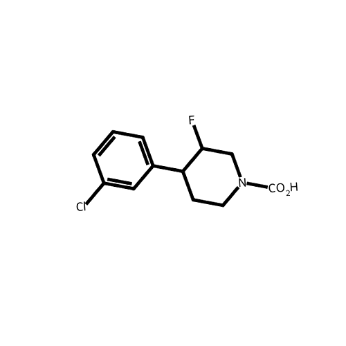 O=C(O)N1CCC(c2cccc(Cl)c2)C(F)C1